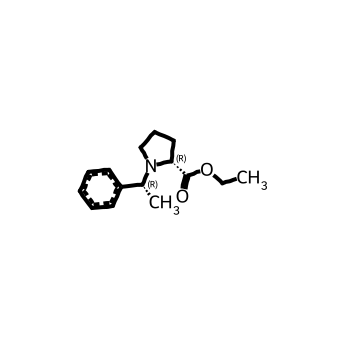 CCOC(=O)[C@H]1CCCN1[C@H](C)c1ccccc1